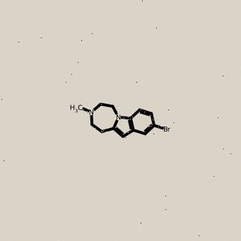 CN1CCc2cc3cc(Br)ccc3n2CC1